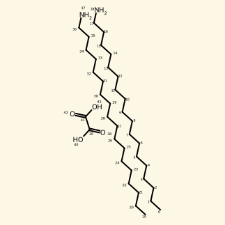 CCCCCCCCCCCCCCCCCCN.CCCCCCCCCCCCCCCCCCN.O=C(O)C(=O)O